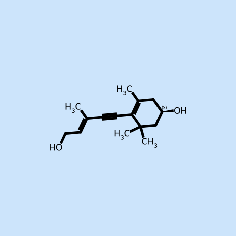 CC(C#CC1=C(C)C[C@@H](O)CC1(C)C)=CCO